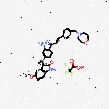 COc1ccc2c(c1)[C@]1(C[C@H]1c1ccc3c(/C=C/c4ccc(CN5CCCOCC5)cc4)n[nH]c3c1)C(=O)N2.O=C(O)C(F)(F)F